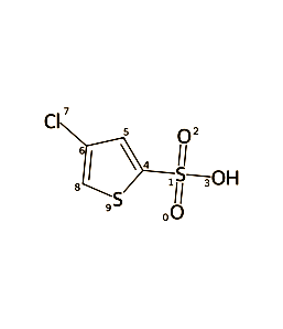 O=S(=O)(O)c1cc(Cl)cs1